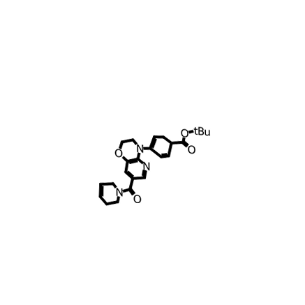 CC(C)(C)OC(=O)C1C=CC(N2CCOc3cc(C(=O)N4CC=CCC4)cnc32)=CC1